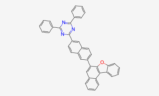 c1ccc(-c2nc(-c3ccccc3)nc(-c3ccc4cc(-c5cc6ccccc6c6c5oc5ccccc56)ccc4c3)n2)cc1